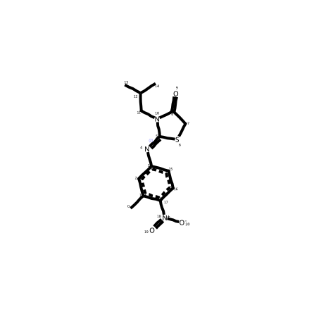 Cc1cc(/N=C2\SCC(=O)N2CC(C)C)ccc1[N+](=O)[O-]